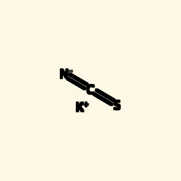 [K+].[N-]=C=S